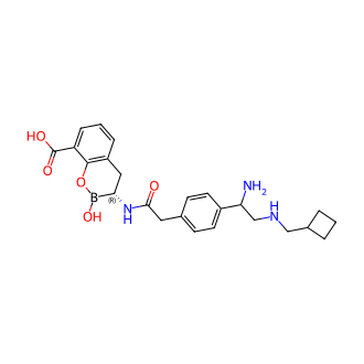 NC(CNCC1CCC1)c1ccc(CC(=O)N[C@H]2Cc3cccc(C(=O)O)c3OB2O)cc1